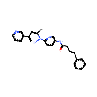 C=C(/C=C(\N(N)c1ccc(NC(=O)CCCc2ccccc2)cn1)C(F)(F)F)c1cccnc1